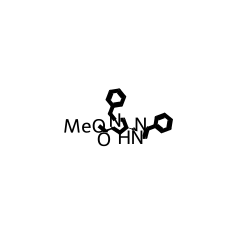 COC(=O)[C@@H]1C[C@@H](c2nc(-c3ccccc3)c[nH]2)CN1Cc1ccccc1